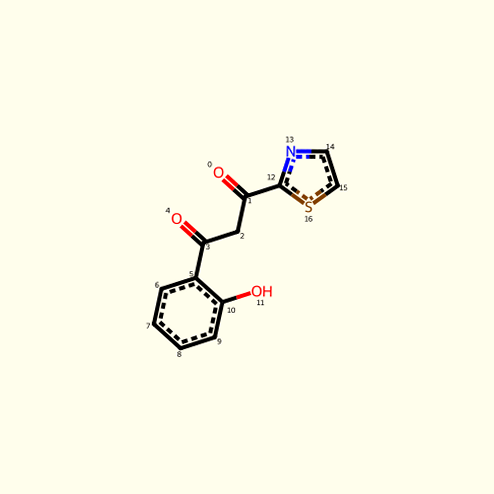 O=C(CC(=O)c1ccccc1O)c1nccs1